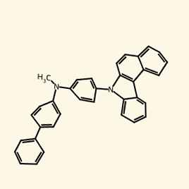 CN(c1ccc(-c2ccccc2)cc1)c1ccc(-n2c3ccccc3c3c4ccccc4ccc32)cc1